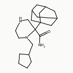 NC(=O)C1(C23CC4CC(CC(C4)C2)C3)CNCCN1CC1CCCC1